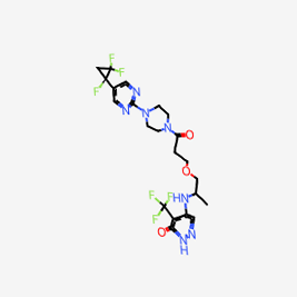 CC(COCCC(=O)N1CCN(c2ncc([C@]3(F)CC3(F)F)cn2)CC1)Nc1cn[nH]c(=O)c1C(F)(F)F